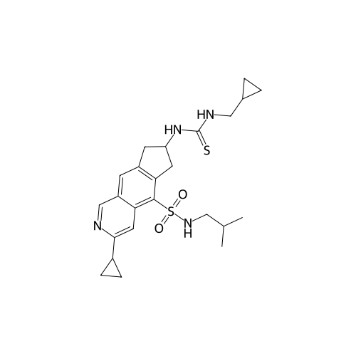 CC(C)CNS(=O)(=O)c1c2c(cc3cnc(C4CC4)cc13)CC(NC(=S)NCC1CC1)C2